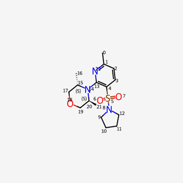 Cc1ccc(S(=O)(=O)N2CCCC2)c(N2[C@@H](C)COC[C@@H]2C)n1